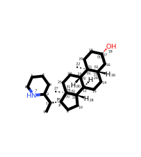 CC(C1CCCCN1)[C@H]1CC[C@H]2[C@@H]3CC[C@H]4C[C@@H](O)CC[C@]4(C)[C@H]3CC[C@]12C